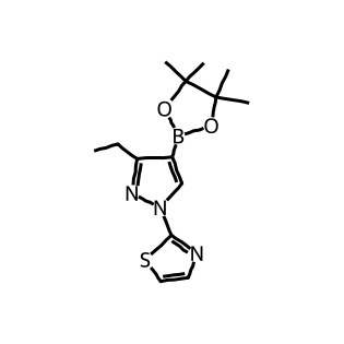 CCc1nn(-c2nccs2)cc1B1OC(C)(C)C(C)(C)O1